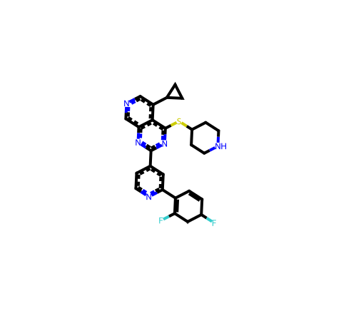 FC1=C(c2cc(-c3nc(SC4CCNCC4)c4c(C5CC5)cncc4n3)ccn2)C=CC(F)[CH]1